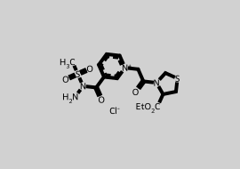 CCOC(=O)C1CSCN1C(=O)C[n+]1cccc(C(=O)N(N)S(C)(=O)=O)c1.[Cl-]